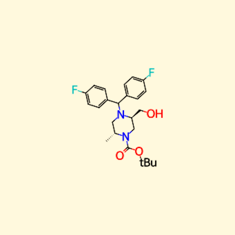 C[C@@H]1CN(C(c2ccc(F)cc2)c2ccc(F)cc2)[C@@H](CO)CN1C(=O)OC(C)(C)C